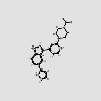 CC(C)N1CCN(c2cc(-c3n[nH]c4ccc(-c5ccn[nH]5)cc34)ncn2)CC1